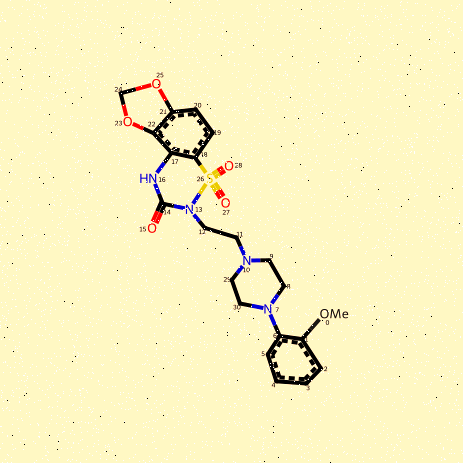 COc1ccccc1N1CCN(CCN2C(=O)Nc3c(ccc4c3OCO4)S2(=O)=O)CC1